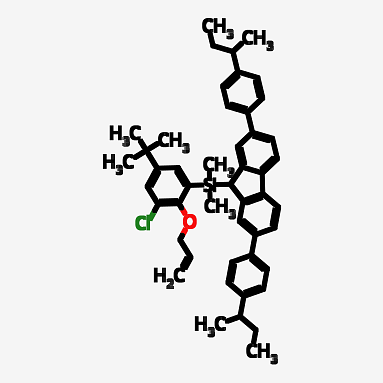 C=CCOc1c(Cl)cc(C(C)(C)C)cc1[Si](C)(C)C1c2cc(-c3ccc(C(C)CC)cc3)ccc2-c2ccc(-c3ccc(C(C)CC)cc3)cc21